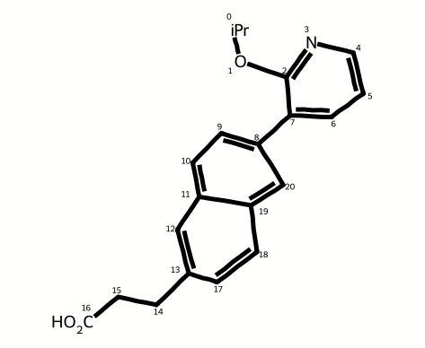 CC(C)Oc1ncccc1-c1ccc2cc(CCC(=O)O)ccc2c1